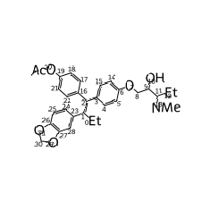 CCC(=C(c1ccc(OCC(O)C(CC)NC)cc1)c1ccc(OC(C)=O)cc1)c1ccc2c(c1)OCO2